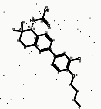 CCCCOc1ccc(-c2ccc3c(c2)CCC(C)(C)[C@@H]3NC(=O)O)cc1Cl